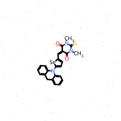 CN1C(=O)C(=Cc2ccc(N3c4ccccc4Cc4ccccc43)[se]2)C(=O)N(C)C1=S